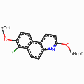 CCCCCCCCOc1ccc2c(ccc3nc(OCCCCCCC)ccc32)c1F